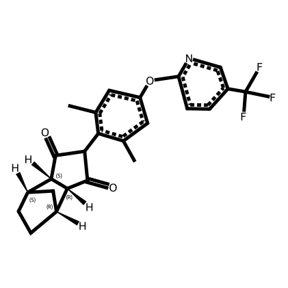 Cc1cc(Oc2ccc(C(F)(F)F)cn2)cc(C)c1C1C(=O)[C@@H]2[C@@H]3CC[C@@H](C3)[C@@H]2C1=O